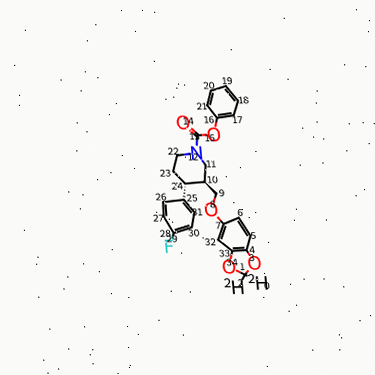 [2H]C1([2H])Oc2ccc(OC[C@@H]3CN(C(=O)Oc4ccccc4)CC[C@H]3c3ccc(F)cc3)cc2O1